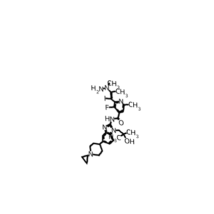 C/C(=C(/I)c1nc(C)cc(C(=O)Nc2nc3cc(C4CCN(C5CC5)CC4)ccc3n2CC(C)(C)O)c1F)N(C)N